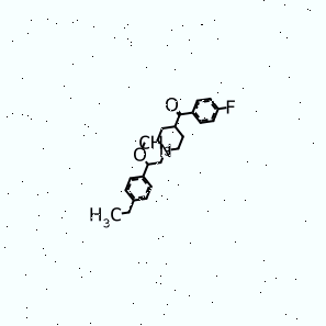 CCc1ccc(C(CN2CCC(C(=O)c3ccc(F)cc3)CC2)OC)cc1